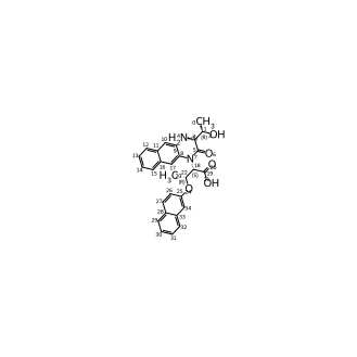 C[C@@H](O)[C@H](N)C(=O)N(c1ccc2ccccc2c1)[C@H](C(=O)O)[C@@H](C)Oc1ccc2ccccc2c1